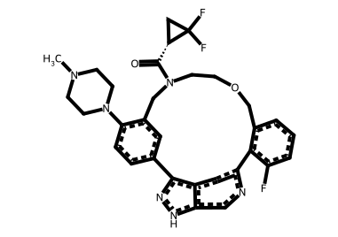 CN1CCN(c2ccc3cc2CN(C(=O)[C@@H]2CC2(F)F)CCOCc2cccc(F)c2-c2cc4c-3n[nH]c4cn2)CC1